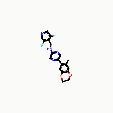 Cc1cc2c(cc1-c1cnc(NCc3c(F)cncc3F)cn1)OCCO2